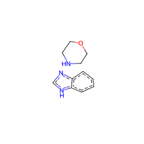 C1COCCN1.c1ccc2[nH]cnc2c1